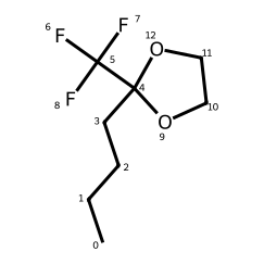 CCCCC1(C(F)(F)F)OCCO1